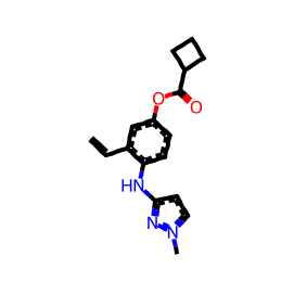 C=Cc1cc(OC(=O)C2CCC2)ccc1Nc1ccn(C)n1